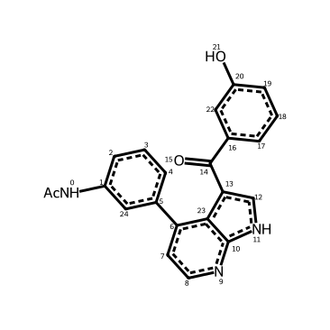 CC(=O)Nc1cccc(-c2ccnc3[nH]cc(C(=O)c4cccc(O)c4)c23)c1